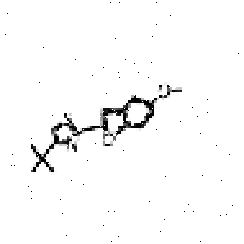 COc1ccc2oc(-c3nc(C(C)(C)C)cs3)cc2c1